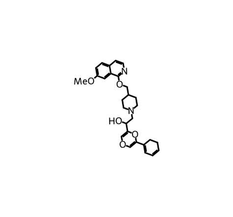 COc1ccc2ccnc(OCC3CCN(CC(O)C4=COC=C(C5=CC=CCC5)O4)CC3)c2c1